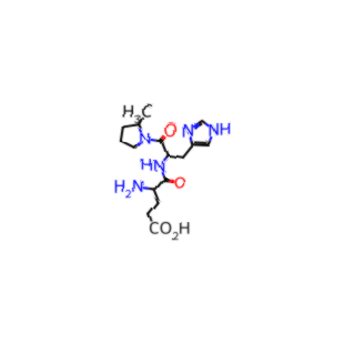 CC1CCCN1C(=O)C(Cc1c[nH]cn1)NC(=O)C(N)CCC(=O)O